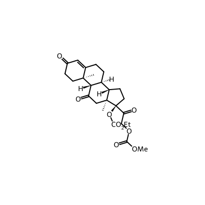 CCOC(=O)O[C@]1(C(=O)COC(=O)OC)CC[C@H]2[C@@H]3CCC4=CC(=O)CC[C@]4(C)[C@H]3C(=O)C[C@@]21C